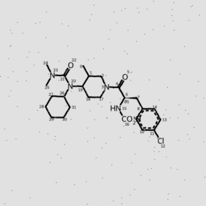 CC1CN(C(=O)[C@@H](Cc2ccc(Cl)cc2)NC(=O)O)CCC1N(C(=O)N(C)C)C1CCCCC1